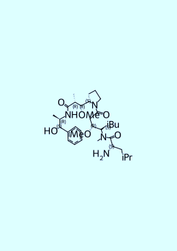 CC[C@H](C)C([C@@H](CC(=O)N1CCC[C@H]1[C@H](OC)[C@@H](C)C(=O)N[C@H](C)[C@@H](O)c1ccccc1)OC)N(C)C(=O)[C@@H](N)CC(C)C